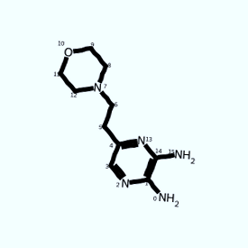 Nc1ncc(CCN2CCOCC2)nc1N